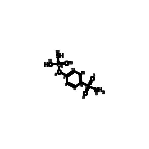 NS(=O)(=O)c1ccc(OP(=O)(O)S)cc1